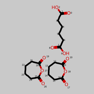 O=C(O)CCCCC(=O)O.O=C1CCCCC(=O)O1.O=C1CCCCC(=O)O1